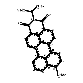 CCCCCCC(CCCCCC)N1C(=O)c2ccc3c4cccc5c(NC(C)=O)ccc(c6ccc(c2c36)C1=O)c54